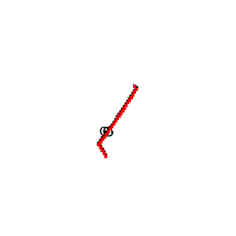 CCCCCCCC/C=C\CCCCCCCC(=O)OCCCCCCCCCCCCCCCCCCCCCCCCCCCCCCCCC(C)CC